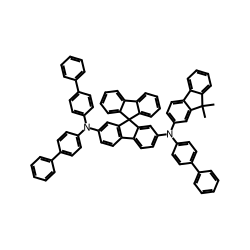 CC1(C)c2ccccc2-c2ccc(N(c3ccc(-c4ccccc4)cc3)c3ccc4c(c3)C3(c5ccccc5-c5ccccc53)c3cc(N(c5ccc(-c6ccccc6)cc5)c5ccc(-c6ccccc6)cc5)ccc3-4)cc21